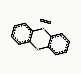 C=C.c1ccc2c(c1)Sc1ccccc1S2